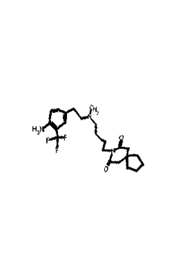 CN(CCCCN1C(=O)CC2(CCCC2)CC1=O)CCc1ccc(N)c(C(F)(F)F)c1